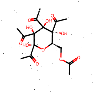 CC(=O)OC[C@H]1O[C@@](O)(C(C)=O)[C@](O)(C(C)=O)[C@](O)(C(C)=O)[C@@]1(O)C(C)=O